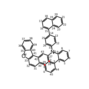 c1ccc(-c2ccccc2N(c2ccc(-c3cccc4ccccc34)cc2)c2ccc3ccc4oc5ccccc5c4c3c2)cc1